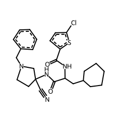 N#CC1(NC(=O)C(CC2CCCCC2)NC(=O)c2ccc(Cl)s2)CCN(Cc2ccccc2)C1